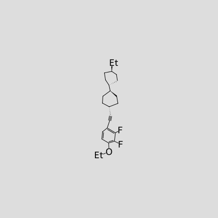 CCOc1ccc(C#C[C@H]2CC[C@H]([C@H]3CC[C@H](CC)CC3)CC2)c(F)c1F